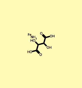 N.O=C(O)C(O)C(O)C(=O)O.[Fe]